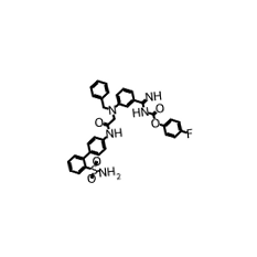 N=C(NC(=O)Oc1ccc(F)cc1)c1cccc(N(CC(=O)Nc2ccc(-c3ccccc3S(N)(=O)=O)cc2)Cc2ccccc2)c1